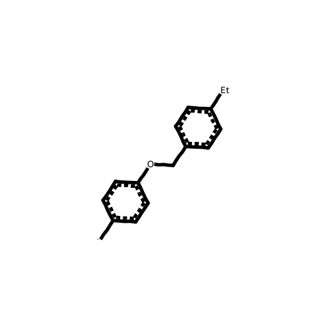 [CH2]c1ccc(OCc2ccc(CC)cc2)cc1